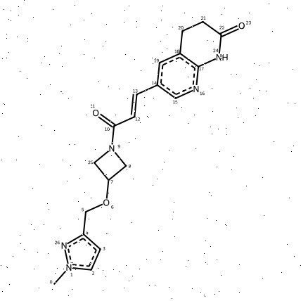 Cn1ccc(COC2CN(C(=O)/C=C/c3cnc4c(c3)CCC(=O)N4)C2)n1